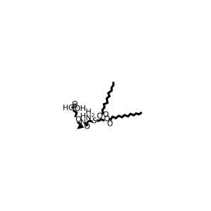 CCCCCCCCCCCC(=O)OCC(CSCC(N)C(=O)NC1(COCCCP(=O)(O)O)CC1)OC(=O)CCCCCCCCCCC